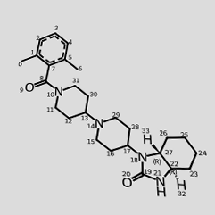 Cc1cccc(C)c1C(=O)N1CCC(N2CCC(N3C(=O)N[C@@H]4CCCC[C@H]43)CC2)CC1